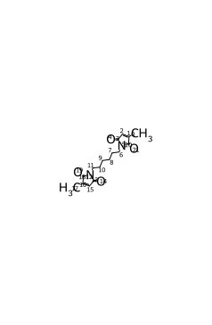 CC1=CC(=O)N(CCCCCCN2C(=O)C=C(C)C2=O)C1=O